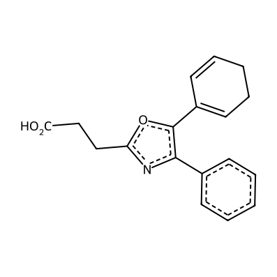 O=C(O)CCc1nc(-c2ccccc2)c(C2=CCCC=C2)o1